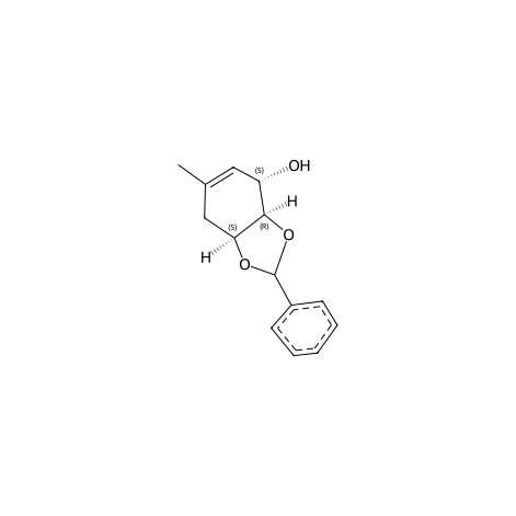 CC1=C[C@H](O)[C@H]2OC(c3ccccc3)O[C@H]2C1